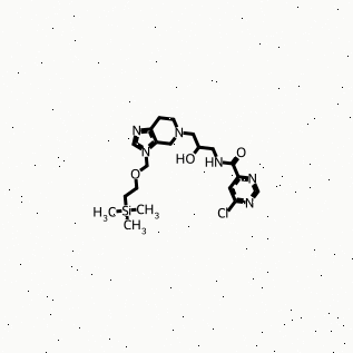 C[Si](C)(C)CCOCn1cnc2c1CN(CC(O)CNC(=O)c1cc(Cl)ncn1)CC2